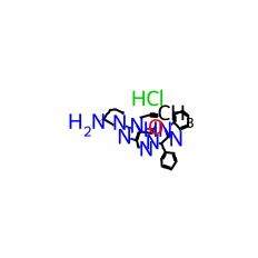 CC#CCn1c(N2CCC[C@@H](N)C2)nc2cnn(C(c3ccccc3)c3nc4ccccc4[nH]3)c(=O)c21.Cl